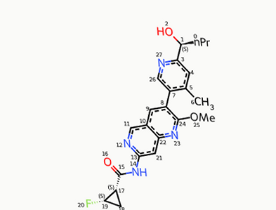 CCC[C@H](O)c1cc(C)c(-c2cc3cnc(NC(=O)[C@@H]4C[C@@H]4F)cc3nc2OC)cn1